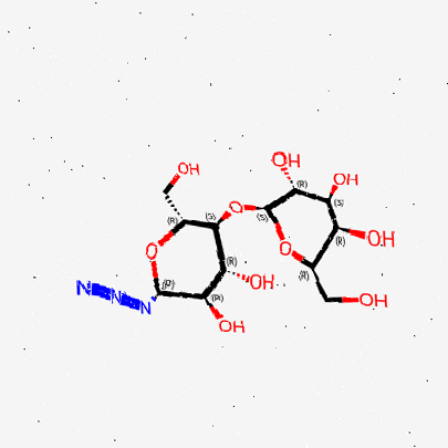 [N-]=[N+]=N[C@@H]1O[C@H](CO)[C@@H](O[C@@H]2O[C@H](CO)[C@H](O)[C@H](O)[C@H]2O)[C@H](O)[C@H]1O